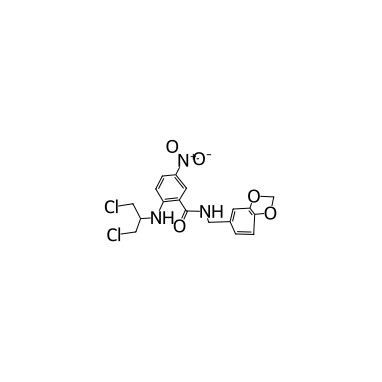 O=C(NCc1ccc2c(c1)OCO2)c1cc([N+](=O)[O-])ccc1NC(CCl)CCl